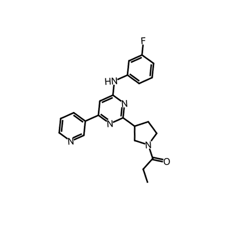 CCC(=O)N1CCC(c2nc(Nc3cccc(F)c3)cc(-c3cccnc3)n2)C1